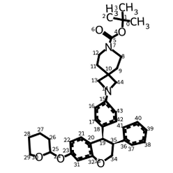 CC(C)(C)OC(=O)N1CCC2(CC1)CN(c1ccc([C@@H]3c4ccc(OC5CCCCO5)cc4OC[C@@H]3c3ccccc3)cc1)C2